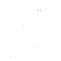 O=C1CC(O)CC(C(=CC2CCCCCC2)c2ccc(Cl)cc2Cl)O1